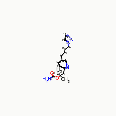 CC(C)(Cc1ccc(CCCCn2ccnn2)cn1)OC(N)=O